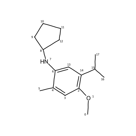 COc1cc(C)c(NC2CCCC2)cc1C(C)C